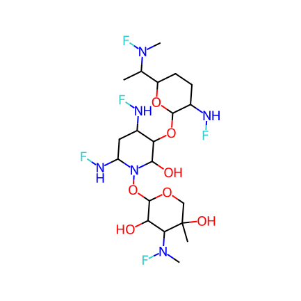 CC(C1CCC(NF)C(OC2C(NF)CC(NF)N(OC3OCC(C)(O)C(N(C)F)C3O)C2O)O1)N(C)F